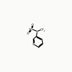 O=[SH](=O)N(c1cc[c]nc1)C(F)(F)F